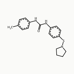 Cc1ccc(NC(=O)Nc2ccc(SN3CCCC3)cc2)cc1